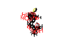 [2H]C([2H])([2H])Oc1cc([C@@H]2c3cc4c(cc3[C@@H](O[C@@H]3O[C@H]5[C@@H](O[C@H](c6cccs6)OC5([2H])[2H])[C@H](O)[C@H]3O)[C@H]3COC(=O)[C@H]23)OC([2H])([2H])O4)cc(OC([2H])([2H])[2H])c1O